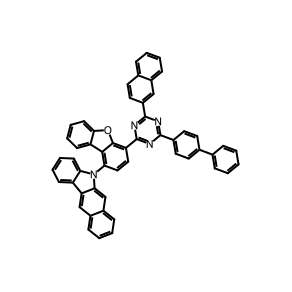 c1ccc(-c2ccc(-c3nc(-c4ccc5ccccc5c4)nc(-c4ccc(-n5c6ccccc6c6cc7ccccc7cc65)c5c4oc4ccccc45)n3)cc2)cc1